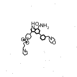 NC(=O)c1cc(-c2cccc(CN3CCOCC3)c2)cc2c(C3CCN(S(=O)(=O)CCCN4CCCC4)CC3)c[nH]c12